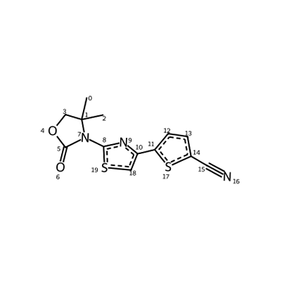 CC1(C)COC(=O)N1c1nc(-c2ccc(C#N)s2)cs1